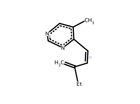 C=C(/C=C\c1ncncc1C)CC